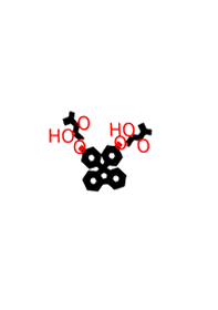 C=C(C)C(=O)C(O)COc1ccc(C2(c3ccc(OCC(O)C(=O)C(=C)C)cc3)c3ccccc3-c3ccccc32)cc1